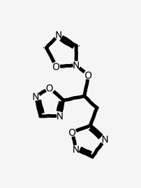 [C]1=N[CH]ON1OC(Cc1ncno1)c1ncno1